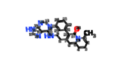 Cc1cccc2cc(CCNc3ncnc4[nH]cnc34)c(-c3ccccc3)c(=O)n12